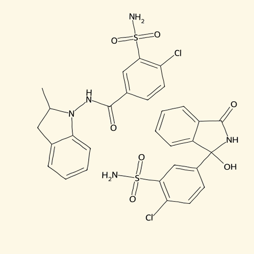 CC1Cc2ccccc2N1NC(=O)c1ccc(Cl)c(S(N)(=O)=O)c1.NS(=O)(=O)c1cc(C2(O)NC(=O)c3ccccc32)ccc1Cl